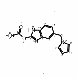 NC(=O)Oc1nc2cc(Cn3cccc3)ccc2[nH]1